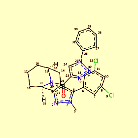 Cn1nc2c(c1-c1cc(Cl)cc(Cl)c1)C[C@@H]1CCC[C@H]2N1C(=O)c1cn(-c2ccccc2)nn1